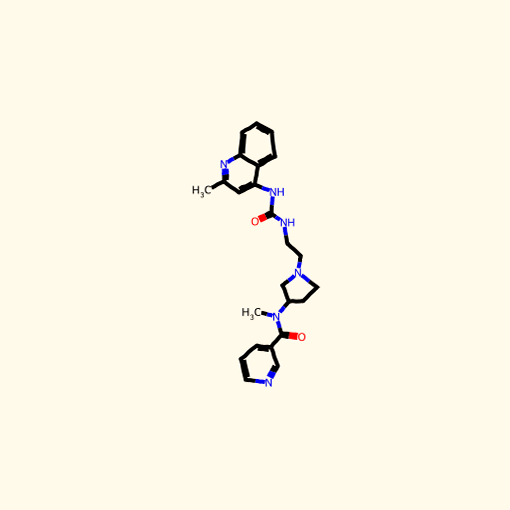 Cc1cc(NC(=O)NCCN2CCC(N(C)C(=O)c3cccnc3)C2)c2ccccc2n1